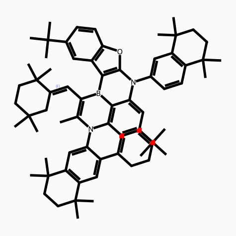 CC1=C(/C=C2\CC(C)(C)CCC2(C)C)B2c3c(cc(C(C)(C)C)cc3N(c3ccc4c(c3)C(C)(C)CCC4(C)C)c3oc4ccc(C(C)(C)C)cc4c32)N1c1cc2c(cc1C1=CC=CCC1)C(C)(C)CCC2(C)C